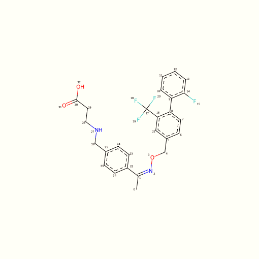 CC(=NOCc1ccc(-c2ccccc2F)c(C(F)(F)F)c1)c1ccc(CNCCC(=O)O)cc1